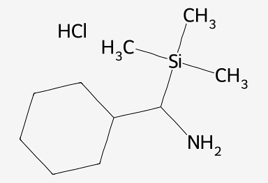 C[Si](C)(C)C(N)C1CCCCC1.Cl